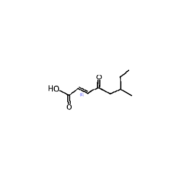 CCC(C)CC(=O)/C=C/C(=O)O